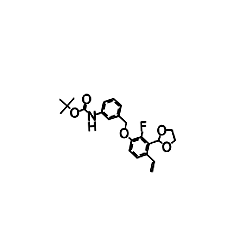 C=Cc1ccc(OCc2cccc(NC(=O)OC(C)(C)C)c2)c(F)c1C1OCCO1